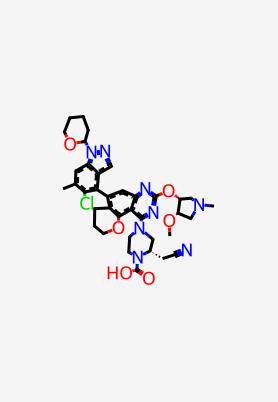 CO[C@H]1CN(C)C[C@@H]1Oc1nc(N2CCN(C(=O)O)[C@@H](CC#N)C2)c2c3c(c(-c4c(Cl)c(C)cc5c4cnn5C4CCCCO4)cc2n1)CCCO3